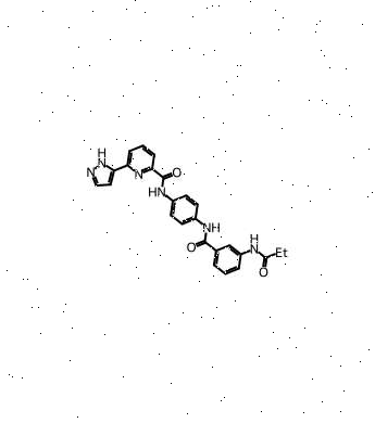 CCC(=O)Nc1cccc(C(=O)Nc2ccc(NC(=O)c3cccc(-c4ccn[nH]4)n3)cc2)c1